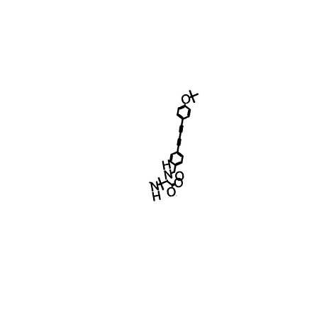 CNC(C)(C)[C@H](NC(=O)c1ccc(C#CC#Cc2ccc(OC(C)(C)C)cc2)cc1)C(=O)OC